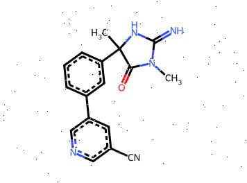 CN1C(=N)NC(C)(c2cccc(-c3cncc(C#N)c3)c2)C1=O